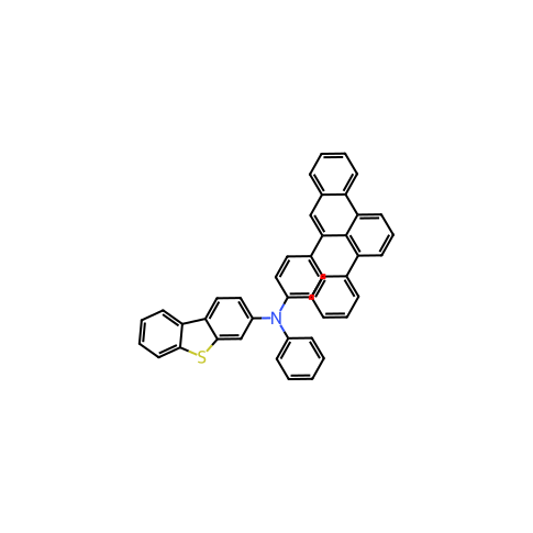 c1ccc(-c2cccc3c2c(-c2ccc(N(c4ccccc4)c4ccc5c(c4)sc4ccccc45)cc2)cc2ccccc23)cc1